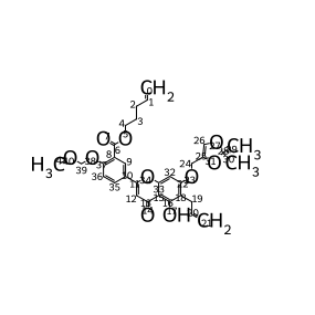 C=CCCCOC(=O)c1cc(-c2cc(=O)c3c(O)c(CC=C)c(OCC4=COC(C)(C)O4)cc3o2)ccc1OCOC